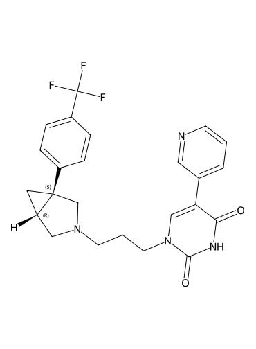 O=c1[nH]c(=O)n(CCCN2C[C@@H]3C[C@]3(c3ccc(C(F)(F)F)cc3)C2)cc1-c1cccnc1